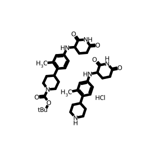 Cc1cc(NC2CCC(=O)NC2=O)ccc1C1CCN(C(=O)OC(C)(C)C)CC1.Cc1cc(NC2CCC(=O)NC2=O)ccc1C1CCNCC1.Cl